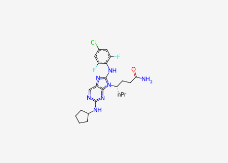 CCC[C@@H](CCC(N)=O)n1c(Nc2c(F)cc(Cl)cc2F)nc2cnc(NC3CCCC3)nc21